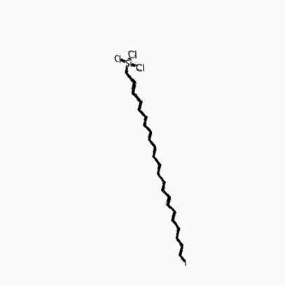 Cl[Si](Cl)(Cl)CCCCCCCCCCCCCCCCCCCCCCCI